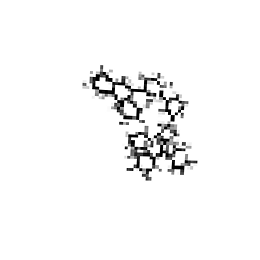 c1ccc(-c2nc(-c3cccc(-c4cccc(-c5cc6ccccc6c6ccccc56)c4)c3)nc3c4ccccc4n(-c4ccccc4)c23)cc1